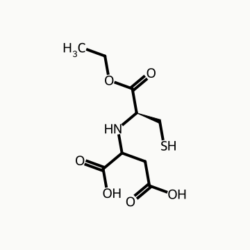 CCOC(=O)[C@@H](CS)NC(CC(=O)O)C(=O)O